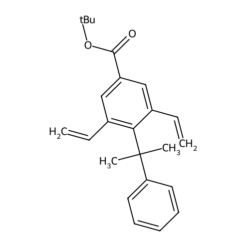 C=Cc1cc(C(=O)OC(C)(C)C)cc(C=C)c1C(C)(C)c1ccccc1